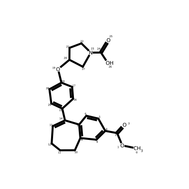 COC(=O)c1ccc2c(c1)CCCC=C2c1ccc(OC2CCN(C(=O)O)C2)cc1